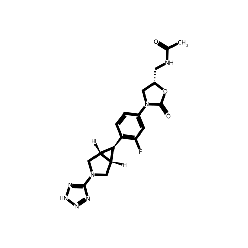 CC(=O)NC[C@H]1CN(c2ccc([C@H]3[C@@H]4CN(c5nn[nH]n5)C[C@@H]43)c(F)c2)C(=O)O1